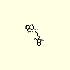 COc1cccc2c1CC(NCCCCN1C(=O)C3CCCC3C1=O)CO2